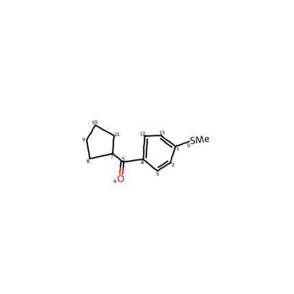 CSc1ccc(C(=O)C2CCCC2)cc1